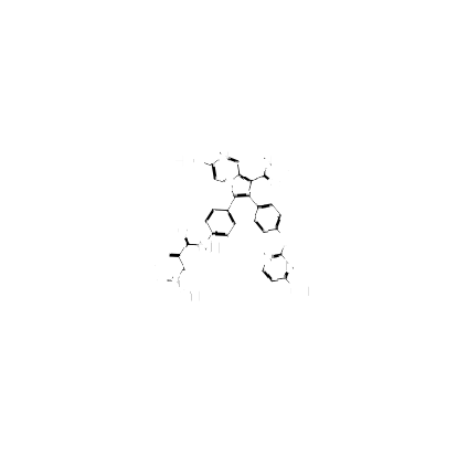 C=C(CN(C)C)C(=O)Nc1ccc(-c2c(-c3ccc(Oc4nccc(C)n4)cc3)c(C(N)=O)c3cnc(C)cn23)cc1